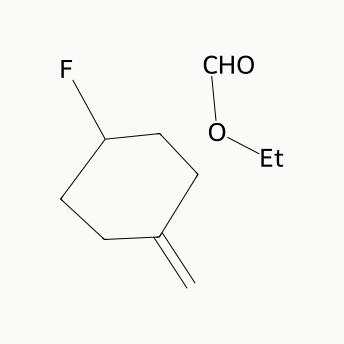 C=C1CCC(F)CC1.CCOC=O